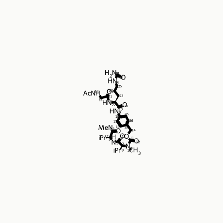 CNC(=O)[C@@H](NC(=O)[C@H](C(C)C)N(C)C(=O)OCc1ccc(NC(=O)[C@H](CCCNC(N)=O)NC(=O)CNC(C)=O)cc1)C(C)C